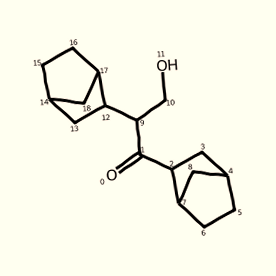 O=C(C1CC2CCC1C2)C(CO)C1CC2CCC1C2